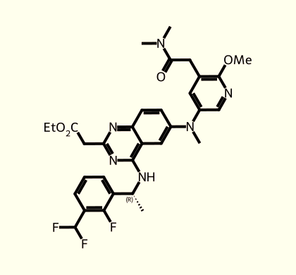 CCOC(=O)Cc1nc(N[C@H](C)c2cccc(C(F)F)c2F)c2cc(N(C)c3cnc(OC)c(CC(=O)N(C)C)c3)ccc2n1